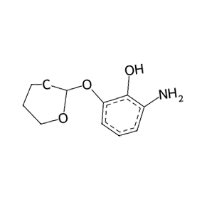 Nc1cccc(OC2CCCCO2)c1O